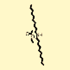 CCCCCCCCCCNCCCCCCCCCC.CCOC(C)=O